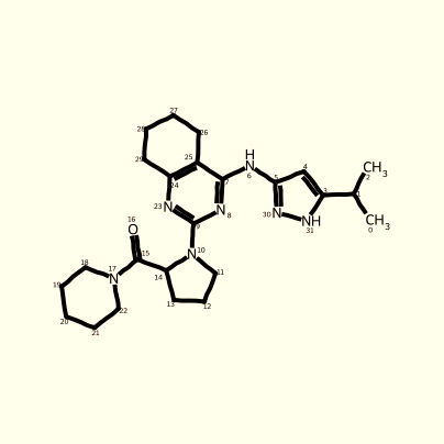 CC(C)c1cc(Nc2nc(N3CCCC3C(=O)N3CCCCC3)nc3c2CCCC3)n[nH]1